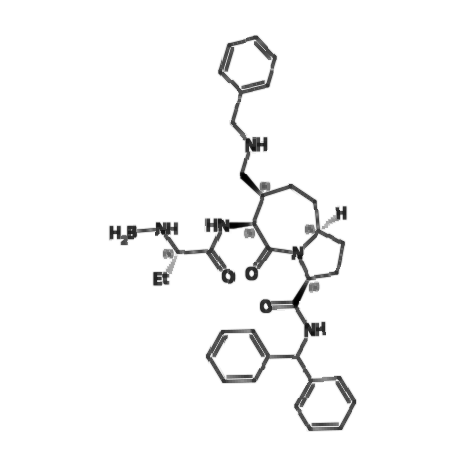 BN[C@@H](CC)C(=O)N[C@@H]1C(=O)N2[C@@H](CC[C@@H]1CNCc1ccccc1)CC[C@H]2C(=O)NC(c1ccccc1)c1ccccc1